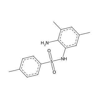 Cc1ccc(S(=O)(=O)Nc2cc(C)cc(C)c2N)cc1